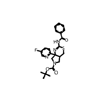 CC(C)(C)OC(=O)N1CC2CSC(NC(=O)c3ccccc3)=NC2(c2ccc(F)cn2)C1